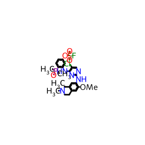 COc1cc2c(cc1Nc1ncc(Cl)c(Nc3cc(OS(=O)(=O)F)ccc3P(C)(C)=O)n1)C(C)N(C)CC2